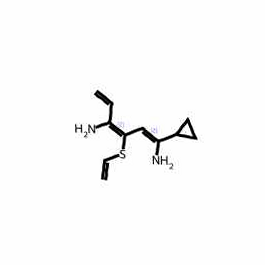 C=CSC(/C=C(\N)C1CC1)=C(\N)C=C